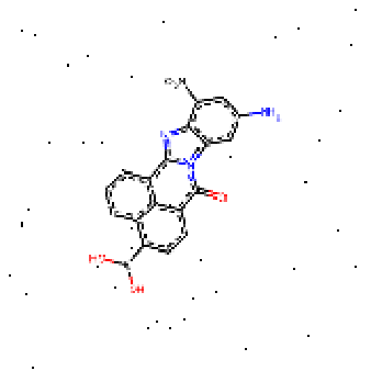 Nc1cc([N+](=O)[O-])c2nc3c4cccc5c(B(O)O)ccc(c(=O)n3c2c1)c54